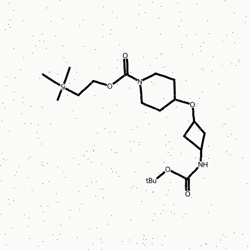 CC(C)(C)OC(=O)NC1CC(OC2CCN(C(=O)OCC[Si](C)(C)C)CC2)C1